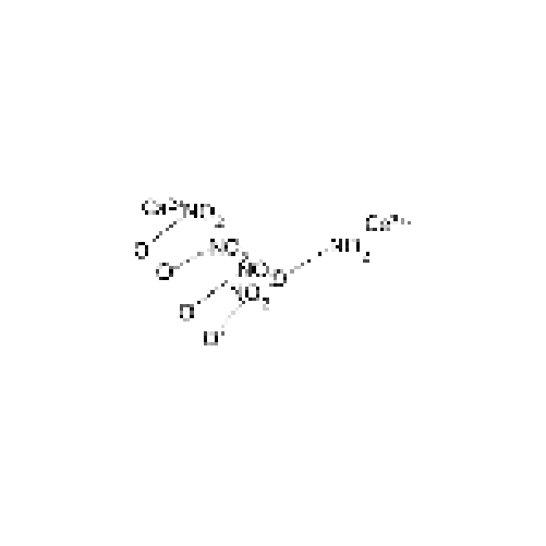 O=[N+]([O-])[O-].O=[N+]([O-])[O-].O=[N+]([O-])[O-].O=[N+]([O-])[O-].O=[N+]([O-])[O-].[Ca+2].[Ce+3]